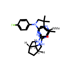 CNc1nc(N[C@H]2[C@@H]3CC[C@H]2CN(c2cc(C)ncn2)C3)nc2c1C(C)(C)CN2c1ccc(F)cc1